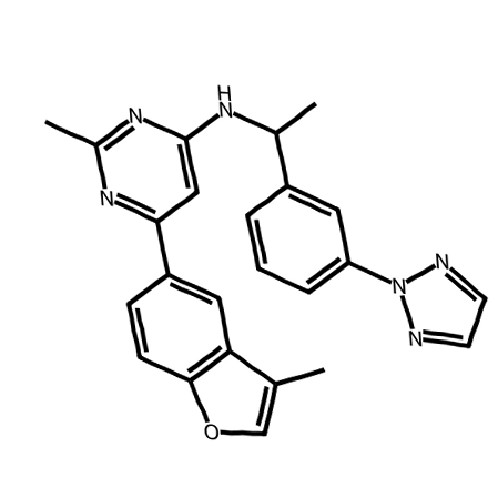 Cc1nc(NC(C)c2cccc(-n3nccn3)c2)cc(-c2ccc3occ(C)c3c2)n1